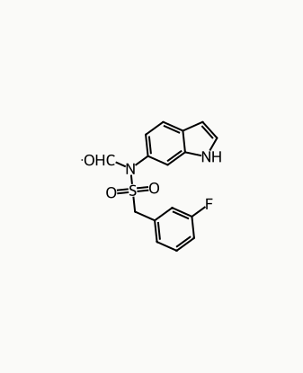 O=[C]N(c1ccc2cc[nH]c2c1)S(=O)(=O)Cc1cccc(F)c1